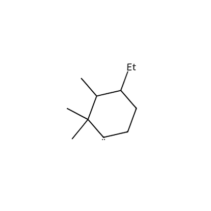 CCC1CC[C]C(C)(C)C1C